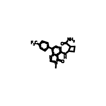 Cn1cnc2c(-c3ccc(C(F)(F)F)cc3)cnc(NC3CCC3C(N)=O)c2c1=O